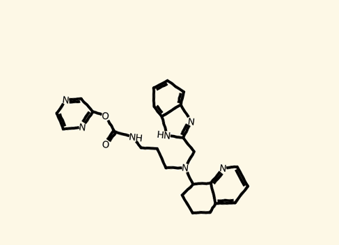 O=C(NCCCN(Cc1nc2ccccc2[nH]1)C1CCCc2cccnc21)Oc1cnccn1